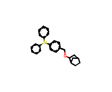 c1ccc([S+](c2ccccc2)c2ccc(COC3CC4CCC3C4)cc2)cc1